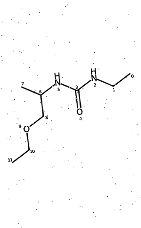 CCNC(=O)NC(C)COCC